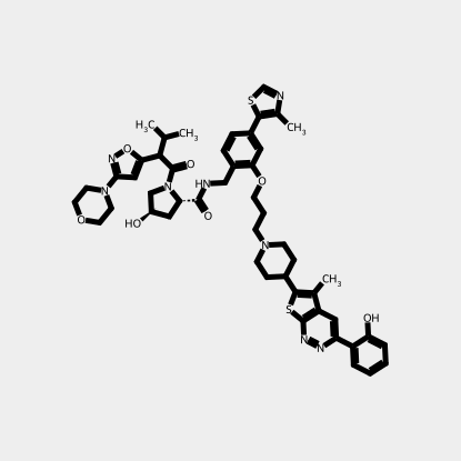 Cc1ncsc1-c1ccc(CNC(=O)[C@@H]2C[C@@H](O)CN2C(=O)C(c2cc(N3CCOCC3)no2)C(C)C)c(OCCCN2CCC(c3sc4nnc(-c5ccccc5O)cc4c3C)CC2)c1